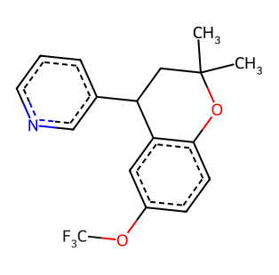 CC1(C)CC(c2cccnc2)c2cc(OC(F)(F)F)ccc2O1